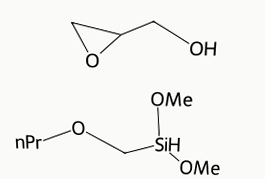 CCCOC[SiH](OC)OC.OCC1CO1